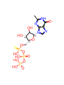 Cc1nc2c(ncn2[C@@H]2O[C@H](COP(O)(=S)OP(=O)(O)OP(=O)(O)O)[C@H](O)C2O)c(=O)[nH]1